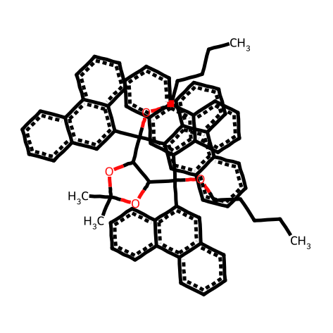 CCCCCOC(c1cc2ccccc2c2ccccc12)(c1cc2ccccc2c2ccccc12)C1OC(C)(C)OC1C(OCCCCC)(c1cc2ccccc2c2ccccc12)c1cc2ccccc2c2ccccc12